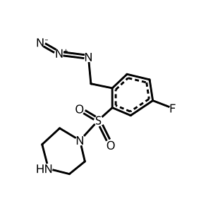 [N-]=[N+]=NCc1ccc(F)cc1S(=O)(=O)N1CCNCC1